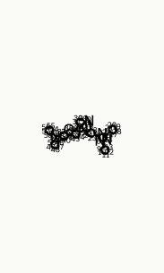 N#Cc1cc(-c2nc(-c3ccccc3)nc(-c3ccccc3)n2)ccc1-n1c2ccccc2c2c3oc4cc5c(cc4c3ccc21)c1ccccc1n5-c1ccccc1